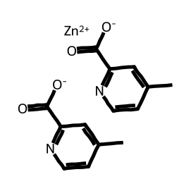 Cc1ccnc(C(=O)[O-])c1.Cc1ccnc(C(=O)[O-])c1.[Zn+2]